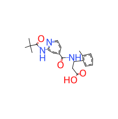 Cc1ccccc1C(CC(=O)O)NC(=O)c1ccnc(NC(=O)C(C)(C)C)c1